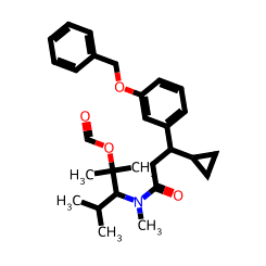 CC(C)C(N(C)C(=O)CC(c1cccc(OCc2ccccc2)c1)C1CC1)C(C)(C)OC=O